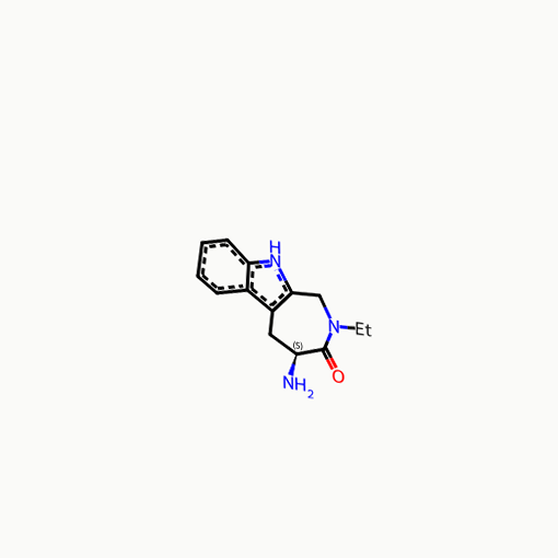 CCN1Cc2[nH]c3ccccc3c2C[C@H](N)C1=O